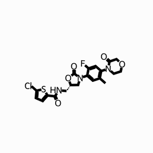 Cc1cc(N2C[C@H](CNC(=O)c3ccc(Cl)s3)OC2=O)c(F)cc1N1CCOCC1=O